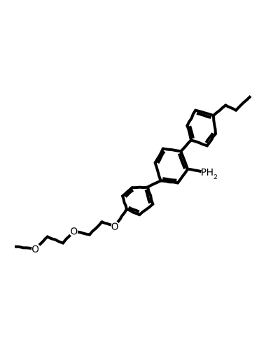 CCCc1ccc(-c2ccc(-c3ccc(OCCOCCOC)cc3)cc2P)cc1